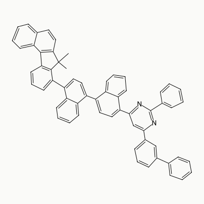 CC1(C)c2ccc3ccccc3c2-c2cccc(-c3ccc(-c4ccc(-c5cc(-c6cccc(-c7ccccc7)c6)nc(-c6ccccc6)n5)c5ccccc45)c4ccccc34)c21